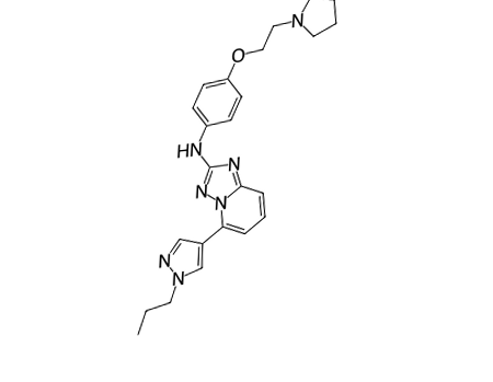 CCCn1cc(-c2cccc3nc(Nc4ccc(OCCN5CCCC5)cc4)nn23)cn1